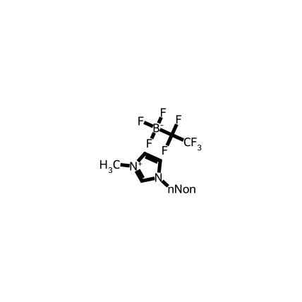 CCCCCCCCCn1cc[n+](C)c1.F[B-](F)(F)C(F)(F)C(F)(F)F